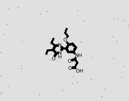 CCCOc1ccc(NC(=O)CC(=O)O)cc1-c1nc(CC)c(CC)c(=O)[nH]1